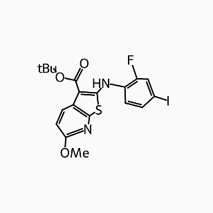 COc1ccc2c(C(=O)OC(C)(C)C)c(Nc3ccc(I)cc3F)sc2n1